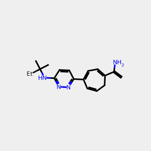 C=C(N)C1=CC=C(c2ccc(NC(C)(C)CC)nn2)C=CC1